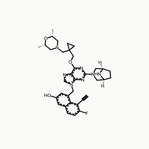 C#Cc1c(F)ccc2cc(O)cc(Cn3cnc4c(OCC5(CN6C[C@@H](C)O[C@@H](C)C6)CC5)nc(N5C[C@H]6CC[C@@H](C5)N6)nc43)c12